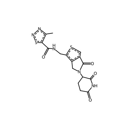 Cc1nnsc1C(=O)NCc1scc2c1CN(C1CCC(=O)NC1=O)C2=O